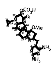 COc1cc(Cc2cnc(N)nc2N)cc(/C=C\c2c(F)cc3c(=O)c(OC(=O)O)cn(C4CC4)c3c2F)c1OC